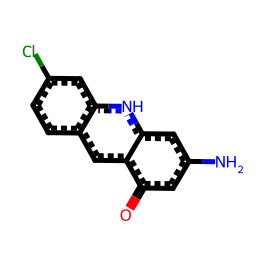 Nc1cc2[nH]c3cc(Cl)ccc3cc-2c(=O)c1